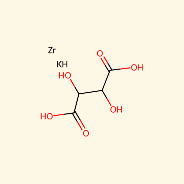 O=C(O)C(O)C(O)C(=O)O.[KH].[Zr]